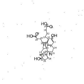 C[C@]12CC[C@@H]3c4c(cc(O)c(CCCC(=O)O)c4CCCC(=O)O)CC[C@H]3[C@]13CC[C@]2(O)CC3